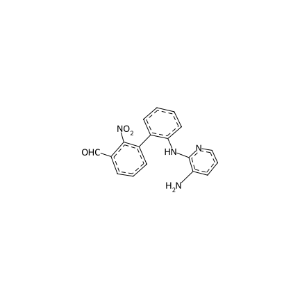 Nc1cccnc1Nc1ccccc1-c1cccc(C=O)c1[N+](=O)[O-]